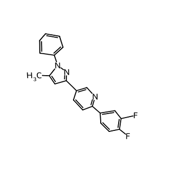 Cc1cc(-c2ccc(-c3ccc(F)c(F)c3)nc2)nn1-c1ccccc1